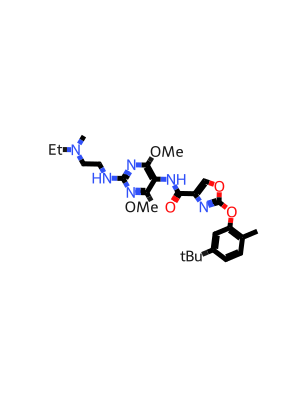 CCN(C)CCNc1nc(OC)c(NC(=O)c2coc(Oc3cc(C(C)(C)C)ccc3C)n2)c(OC)n1